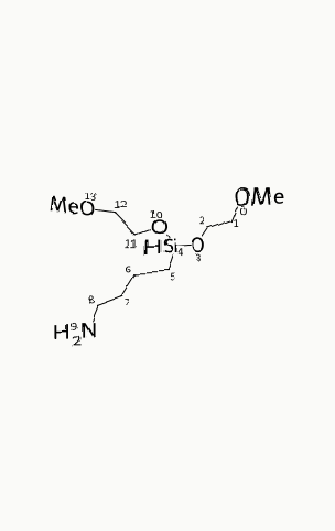 COCCO[SiH](CCCCN)OCCOC